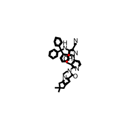 CC1(C)Cc2cc3n(c2C1)CCN(c1nccc(-n2cc(NC(c4ccccc4)(c4ccccc4)c4ccccc4)c(C#N)n2)c1CO)C3=O